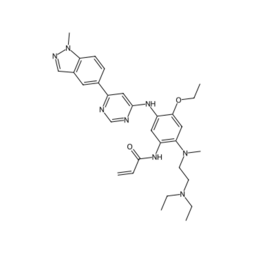 C=CC(=O)Nc1cc(Nc2cc(-c3ccc4c(cnn4C)c3)ncn2)c(OCC)cc1N(C)CCN(CC)CC